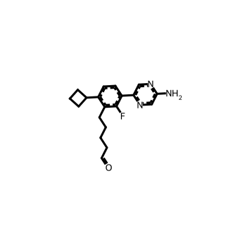 Nc1cnc(-c2ccc(C3CCC3)c(CCCCC=O)c2F)cn1